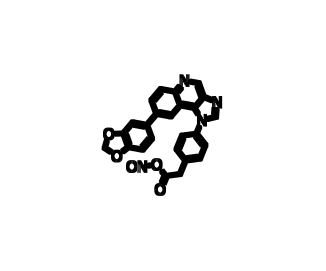 O=NOC(=O)Cc1ccc(-n2cnc3cnc4ccc(-c5ccc6c(c5)OCO6)cc4c32)cc1